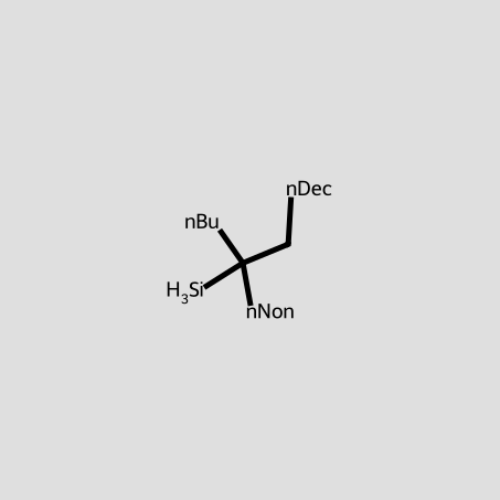 CCCCCCCCCCCC([SiH3])(CCCC)CCCCCCCCC